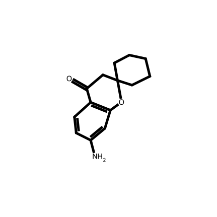 Nc1ccc2c(c1)OC1(CCCCC1)CC2=O